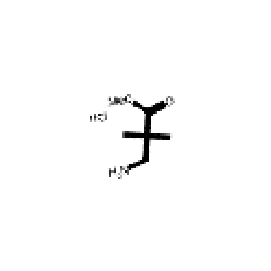 COC(=O)C(C)(C)CN.Cl